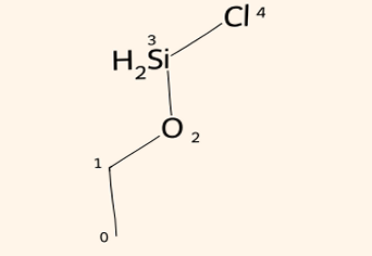 CCO[SiH2]Cl